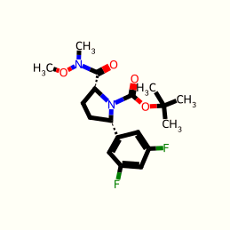 CON(C)C(=O)[C@H]1CC[C@@H](c2cc(F)cc(F)c2)N1C(=O)OC(C)(C)C